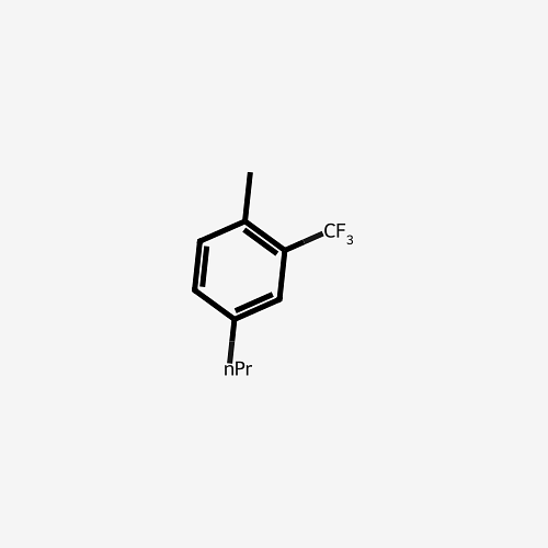 CCCc1ccc(C)c(C(F)(F)F)c1